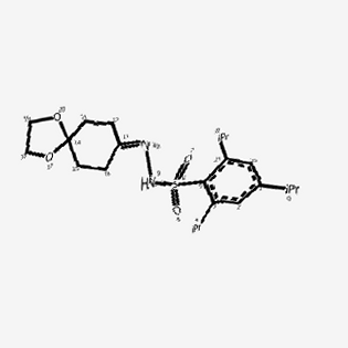 CC(C)c1cc(C(C)C)c(S(=O)(=O)NN=C2CCC3(CC2)OCCO3)c(C(C)C)c1